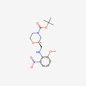 COc1cccc([N+](=O)[O-])c1NC[C@@H]1CN(C(=O)OC(C)(C)C)CCO1